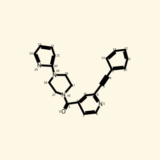 O=C(c1ccnc(C#Cc2ccccc2)c1)N1CCN(c2ccccn2)CC1